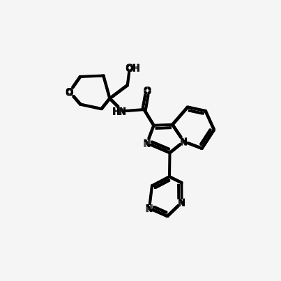 O=C(NC1(CO)CCOCC1)c1nc(-c2cncnc2)n2ccccc12